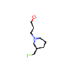 [O]CCCN1CCCC(CF)C1